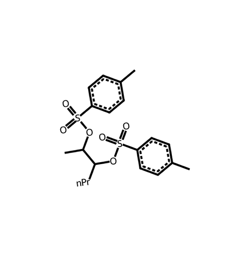 CCCC(OS(=O)(=O)c1ccc(C)cc1)C(C)OS(=O)(=O)c1ccc(C)cc1